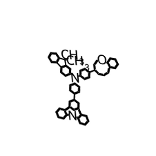 CC1(C)c2ccccc2-c2ccc(N(c3ccc(-c4cccc5ccccc5occ4)cc3)c3ccc(-c4cc5c6ccccc6n6c7ccccc7c(c4)c56)cc3)cc21